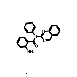 Nc1ccccc1C(=O)N(c1ccccc1)c1ncc2ccccc2n1